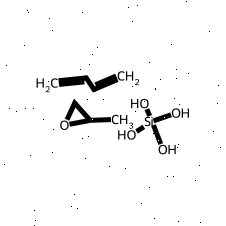 C=CC=C.CC1CO1.O[Si](O)(O)O